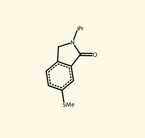 CSc1ccc2c(c1)C(=O)N(C(C)C)C2